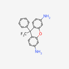 Nc1ccc2c(c1)Oc1cc(N)ccc1C2(c1ccccc1)C(F)(F)F